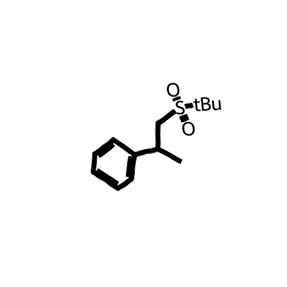 CC(CS(=O)(=O)C(C)(C)C)c1ccccc1